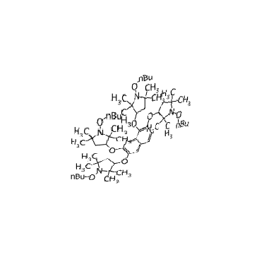 CCCCON1C(C)(C)CC(Oc2cc3ccc(OC4CC(C)(C)N(OCCCC)C4(C)C)c(OC4CC(C)(C)N(OCCCC)C4(C)C)c3cc2OC2CC(C)(C)N(OCCCC)C2(C)C)C1(C)C